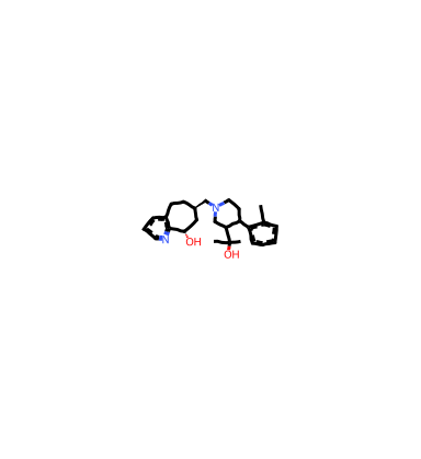 Cc1ccccc1C1CCN(C[C@@H]2CCc3cccnc3[C@@H](O)C2)CC1C(C)(C)O